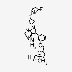 CC1(C)CCC(COc2cccc(-c3cn(C4CC(CN5CCC(F)C5)C4)c4ncnc(N)c34)c2)O1